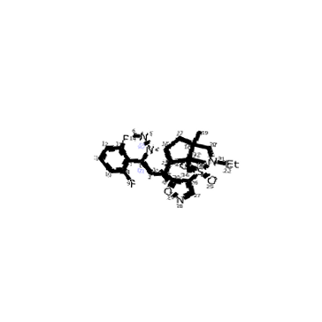 C=C(/C=C(\N=N/C)c1c(F)cccc1F)C1CCC(C)(CN(CC)S(=O)(=O)c2cnoc2C)C1(C)C